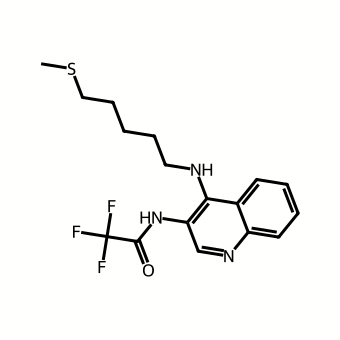 CSCCCCCNc1c(NC(=O)C(F)(F)F)cnc2ccccc12